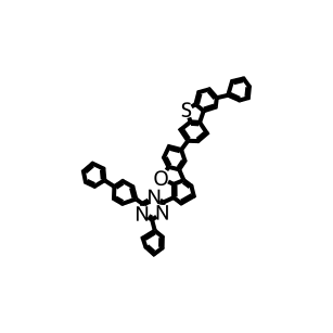 c1ccc(-c2ccc(-c3nc(-c4ccccc4)nc(-c4cccc5c4oc4ccc(-c6ccc7c(c6)sc6ccc(-c8ccccc8)cc67)cc45)n3)cc2)cc1